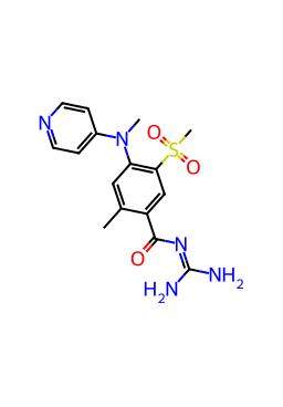 Cc1cc(N(C)c2ccncc2)c(S(C)(=O)=O)cc1C(=O)N=C(N)N